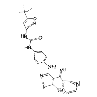 CC(C)(C)c1cc(NC(=O)Nc2ccc(Nc3ncnc(N)c3C(=N)c3cccnc3)cc2)no1